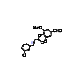 COc1cc(C=O)cc(Cl)c1OC(=O)/C=C/c1cccc(Cl)c1